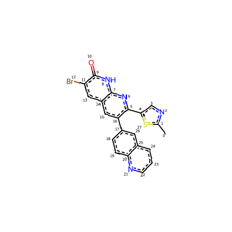 Cc1ncc(-c2nc3[nH]c(=O)c(Br)cc3cc2-c2ccc3ncccc3c2)s1